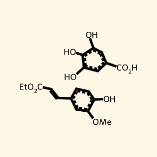 CCOC(=O)C=Cc1ccc(O)c(OC)c1.O=C(O)c1cc(O)c(O)c(O)c1